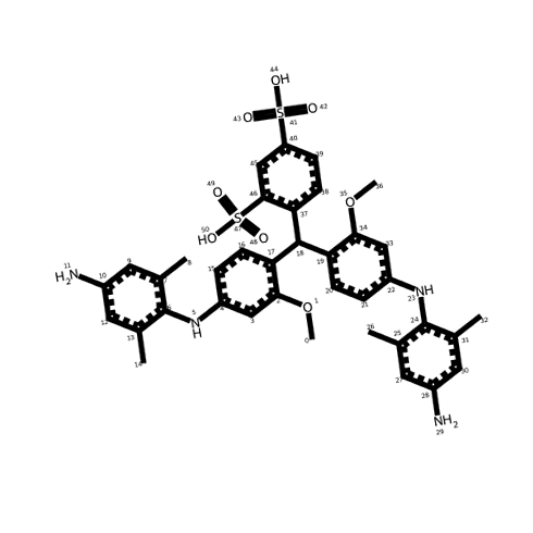 COc1cc(Nc2c(C)cc(N)cc2C)ccc1C(c1ccc(Nc2c(C)cc(N)cc2C)cc1OC)c1ccc(S(=O)(=O)O)cc1S(=O)(=O)O